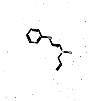 C=CCN(C=CBc1ccccc1)CC